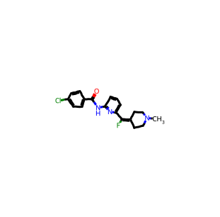 CN1CCC(=C(F)c2cccc(NC(=O)c3ccc(Cl)cc3)n2)CC1